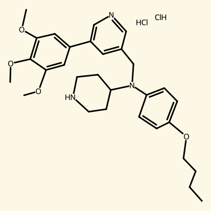 CCCCOc1ccc(N(Cc2cncc(-c3cc(OC)c(OC)c(OC)c3)c2)C2CCNCC2)cc1.Cl.Cl